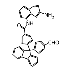 Nc1ccc2cccc(NC(=O)c3ccc(C4(c5ccc(C=O)cc5)c5ccccc5-c5ccccc54)cc3)c2c1